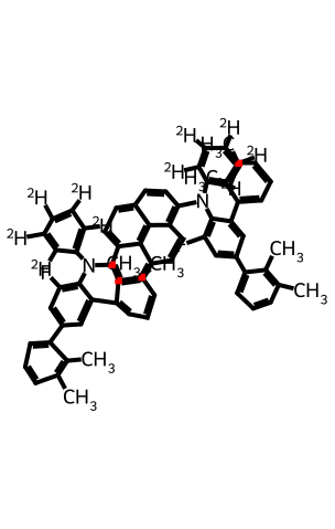 [2H]c1c([2H])c([2H])c(N(c2c(F)cc(-c3cccc(C)c3C)cc2-c2cccc(C)c2C)c2ccc3ccc4c(N(c5c(F)cc(-c6cccc(C)c6C)cc5-c5cccc(C)c5C)c5c([2H])c([2H])c([2H])c([2H])c5[2H])ccc5ccc2c3c54)c([2H])c1[2H]